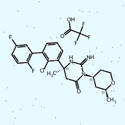 C[C@H]1C[C@@H](N2C(=N)N[C@](C)(c3cccc(-c4cc(F)ccc4F)c3Cl)CC2=O)CCO1.O=C(O)C(F)(F)F